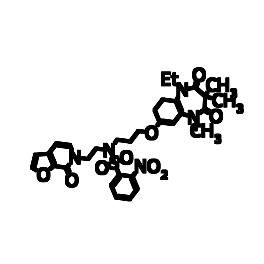 CCN1C(=O)C(C)(C)C(=O)N(C)C2=C1CCC(OCCCN(CCn1ccc3ccoc3c1=O)S(=O)(=O)c1ccccc1[N+](=O)[O-])=C2